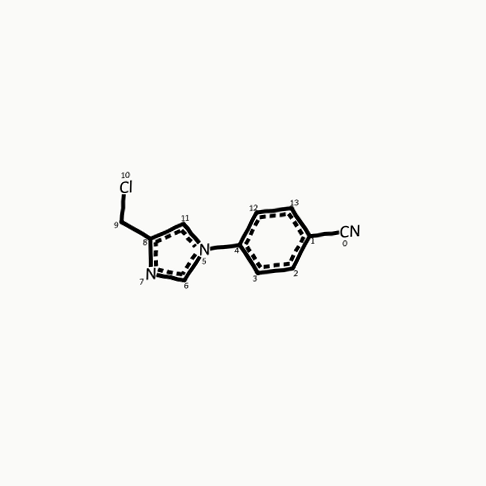 N#Cc1ccc(-n2cnc(CCl)c2)cc1